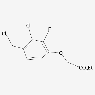 CCOC(=O)COc1ccc(CCl)c(Cl)c1F